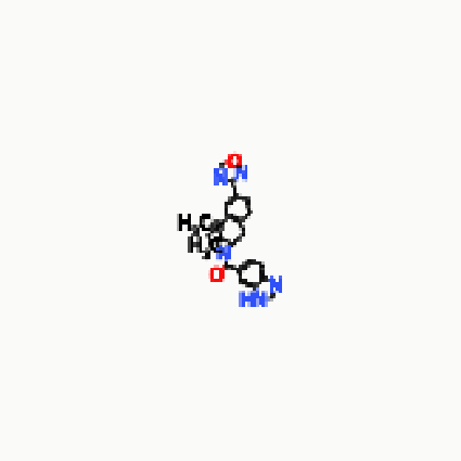 CC1C2Cc3ccc(-c4ncon4)cc3[C@]1(C)CCN2C(=O)c1ccc2nc[nH]c2c1